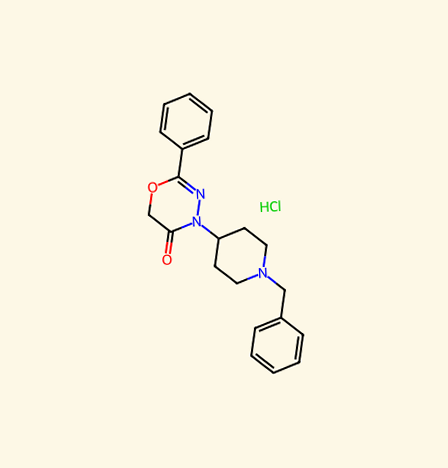 Cl.O=C1COC(c2ccccc2)=NN1C1CCN(Cc2ccccc2)CC1